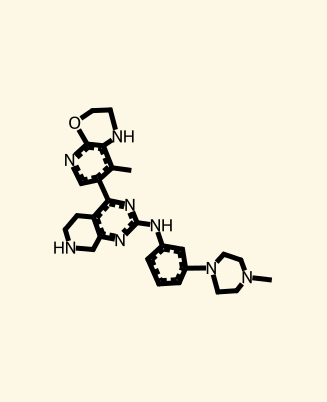 Cc1c(-c2nc(Nc3cccc(N4CCN(C)CC4)c3)nc3c2CCNC3)cnc2c1NCCO2